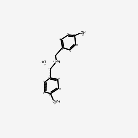 COc1ccc(CNCc2ccc(O)cc2)cc1.Cl